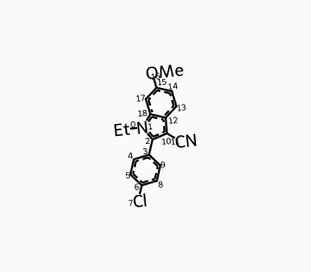 CCn1c(-c2ccc(Cl)cc2)c(C#N)c2ccc(OC)cc21